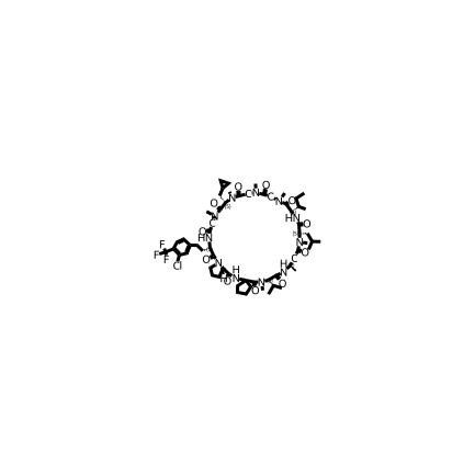 CCC(C)[C@@H]1NC(=O)[C@H](CC(C)C)N(C)C(=O)C[C@@H](C)NC(=O)[C@H](C(C)C)N(C)C(=O)C2(CCCC2)NC(=O)[C@@H]2CCCN2C(=O)[C@H](CCc2ccc(C(F)(F)F)c(Cl)c2)NC(=O)CN(C)C(=O)[C@H](CC2CC2)N(C)C(=O)CN(C)C(=O)CN(C)C1=O